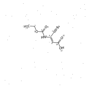 CCOC(=O)NC(C#N)=CC(=O)O